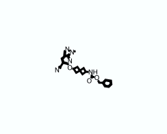 Cn1ncc2cc(C#N)c(OC3CC4(CC(NC(=O)OCc5ccccc5)C4)C3)nc21